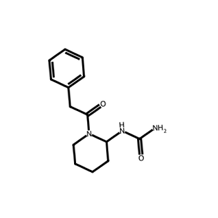 NC(=O)NC1CCCCN1C(=O)Cc1ccccc1